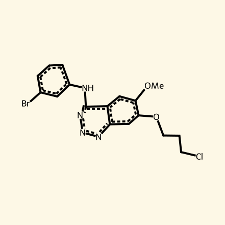 COc1cc2c(Nc3cccc(Br)c3)nnnc2cc1OCCCCl